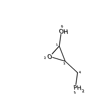 OC1OC1CP